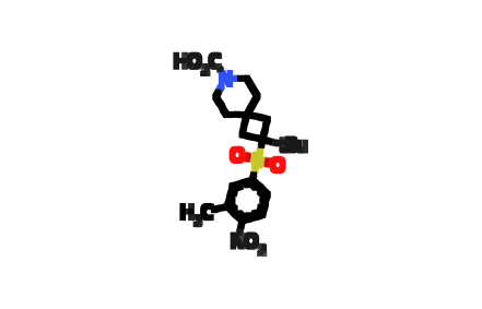 Cc1cc(S(=O)(=O)C2(C(C)(C)C)CC3(CCN(C(=O)O)CC3)C2)ccc1[N+](=O)[O-]